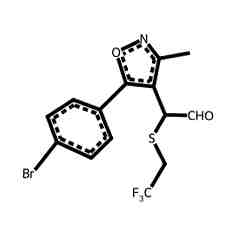 Cc1noc(-c2ccc(Br)cc2)c1C(C=O)SCC(F)(F)F